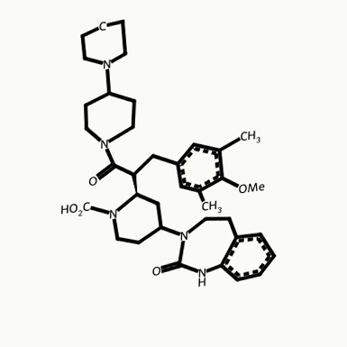 COc1c(C)cc(CC(C(=O)N2CCC(N3CCCCC3)CC2)[C@H]2CC(N3CCc4ccccc4NC3=O)CCN2C(=O)O)cc1C